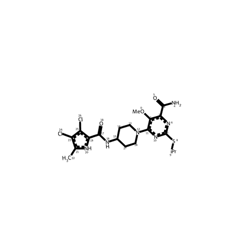 COc1c(C(N)=O)nc(SC(C)C)nc1N1CCC(NC(=O)c2[nH]c(C)c(Cl)c2Cl)CC1